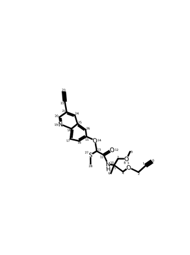 C#CCOCC(C)(COC)NC(=O)C(Oc1ccc2ncc(C#C)cc2c1)SC